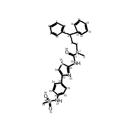 CN(CCC(c1ccccc1)c1ccccc1)C(=O)Nc1nc(-c2ccc(NS(C)(=O)=O)cc2)cs1